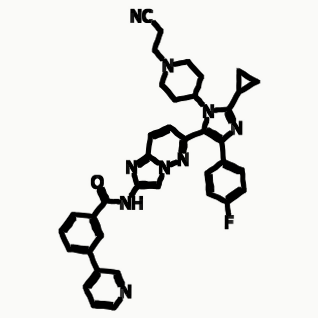 N#CCCN1CCC(n2c(C3CC3)nc(-c3ccc(F)cc3)c2-c2ccc3nc(NC(=O)c4cccc(-c5cccnc5)c4)cn3n2)CC1